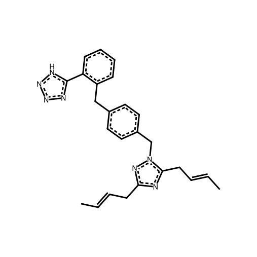 CC=CCc1nc(CC=CC)n(Cc2ccc(Cc3ccccc3-c3nnn[nH]3)cc2)n1